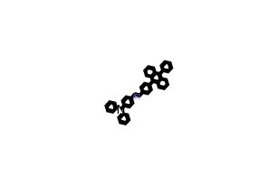 C1=Cc2c(c(-c3ccccc3)c3c(c2-c2ccc(/C=C/c4ccc(N(c5ccccc5)c5ccccc5)cc4)cc2)CCC=C3)CC1